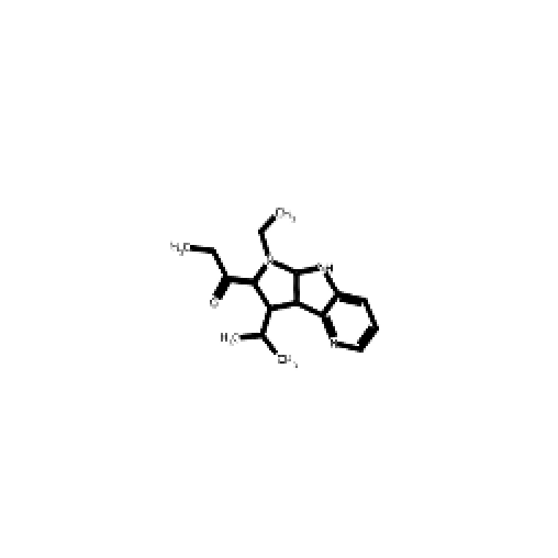 CCC(=O)C1C(C(C)C)C2c3ncccc3NC2N1CC